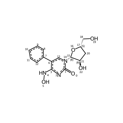 O=c1nc(NO)c(-c2ccccc2)cn1[C@@H]1O[C@H](CO)C[C@H]1O